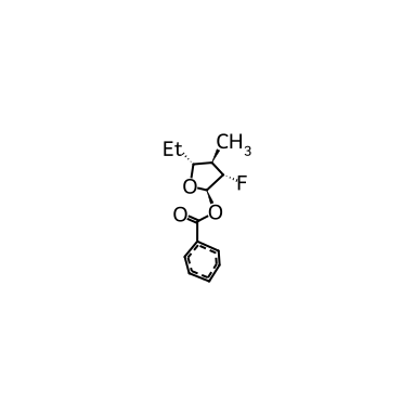 CC[C@H]1O[C@H](OC(=O)c2ccccc2)[C@@H](F)[C@@H]1C